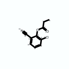 CCC(=O)Oc1c(Cl)cccc1C#N